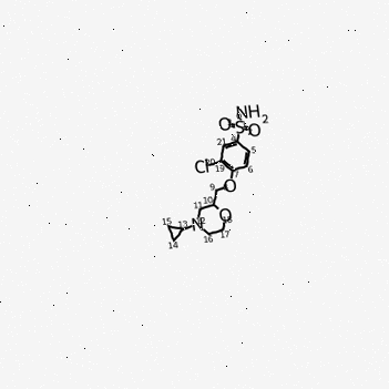 NS(=O)(=O)c1ccc(OCC2CN(C3CC3)CCO2)c(Cl)c1